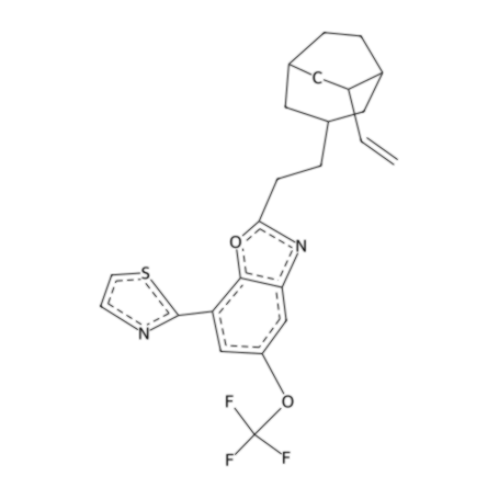 C=CC1CC2CCC1CC(CCc1nc3cc(OC(F)(F)F)cc(-c4nccs4)c3o1)C2